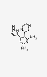 Nc1cc(-c2cc[nH]n2)c(-c2cnccn2)c(N)n1